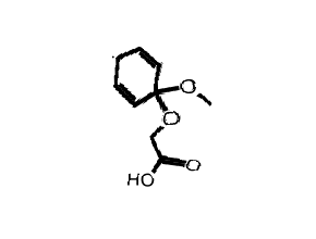 COC1(OCC(=O)O)C=C[CH]C=C1